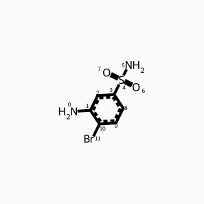 Nc1cc(S(N)(=O)=O)ccc1Br